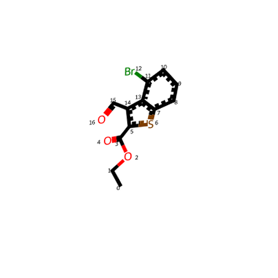 CCOC(=O)c1sc2cccc(Br)c2c1C=O